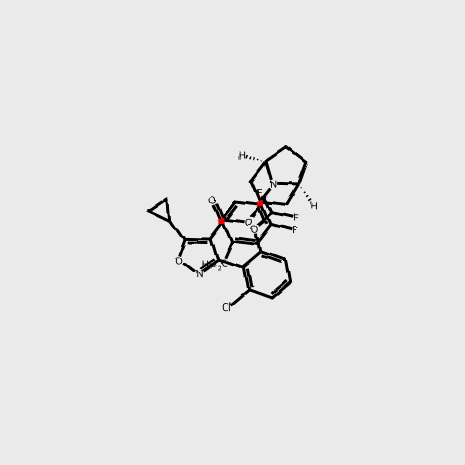 O=C(O)c1ccc(N2[C@@H]3CC[C@H]2C[C@@H](OC(=O)c2c(-c4c(Cl)cccc4OC(F)F)noc2C2CC2)C3)c(F)c1